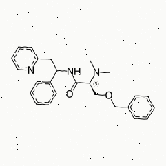 CN(C)[C@@H](COCc1ccccc1)C(=O)NC(Cc1ccccn1)c1ccccc1